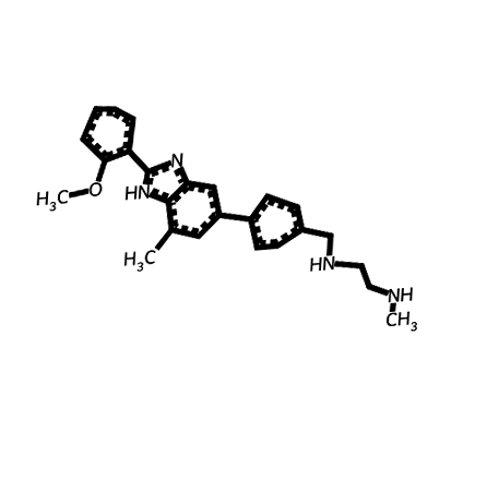 CNCCNCc1ccc(-c2cc(C)c3[nH]c(-c4ccccc4OC)nc3c2)cc1